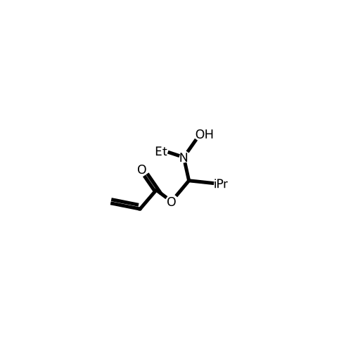 C=CC(=O)OC(C(C)C)N(O)CC